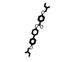 CCC(C)COc1ccc(C(=O)OC2CCC(c3ccc(OCC(C)CC)cc3)CC2)cc1